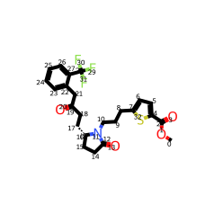 COC(=O)c1ccc(CCCN2C(=O)CC[C@@H]2CCC(=O)Cc2ccccc2C(F)(F)F)s1